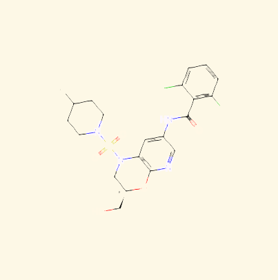 CC1CCN(S(=O)(=O)N2C[C@H](CO)Oc3ncc(NC(=O)c4c(Cl)cccc4Cl)cc32)CC1